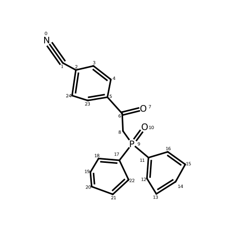 N#Cc1ccc(C(=O)CP(=O)(c2ccccc2)c2ccccc2)cc1